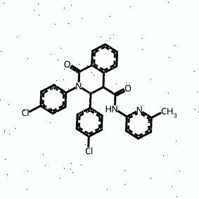 Cc1cccc(NC(=O)C2c3ccccc3C(=O)N(c3ccc(Cl)cc3)C2c2ccc(Cl)cc2)n1